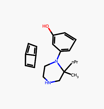 CCCC1(C)CNCCN1c1cccc(O)c1.c1cc2ccc1-2